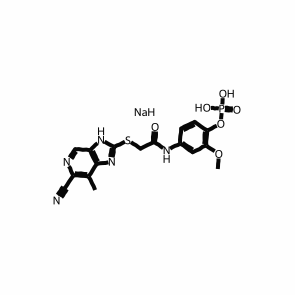 COc1cc(NC(=O)CSc2nc3c(C)c(C#N)ncc3[nH]2)ccc1OP(=O)(O)O.[NaH]